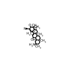 CC1(C)C(=O)C(C#N)=C[C@]2(C)C3=CC(=O)C4[C@@H]5C[C@@](C)(N)CC[C@]5(C)CC[C@@]4(C)[C@]3(C)CC[C@@H]12